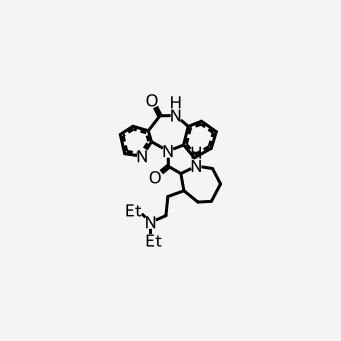 CCN(CC)CCC1CCCCNC1C(=O)N1c2ccccc2NC(=O)c2cccnc21